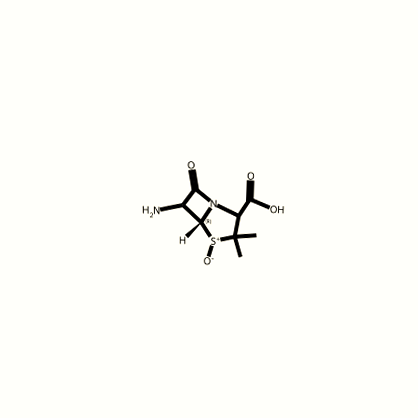 CC1(C)C(C(=O)O)N2C(=O)C(N)[C@H]2[S+]1[O-]